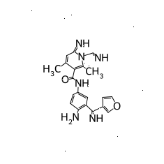 Cc1cc(=N)n(C=N)c(C)c1C(=O)Nc1ccc(N)c(C(=N)c2ccoc2)c1